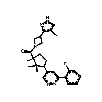 Cc1c[nH]nc1C1CN(C(=O)[C@]2(C)CC[C@@H](c3cnnc(-c4ccccc4F)c3)C2(C)C)C1